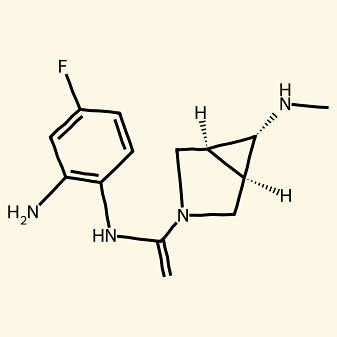 C=C(Nc1ccc(F)cc1N)N1C[C@@H]2[C@H](C1)[C@H]2NC